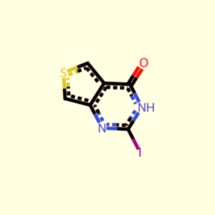 O=c1[nH]c(I)nc2cscc12